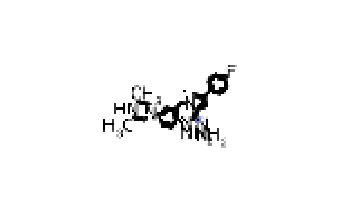 CC1CN(c2ccc3c(c2)Cn2cc(-c4ccc(F)cc4)cc2/C(=N/N)N3N)CC(C)N1